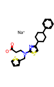 O=C([O-])CCN(Cc1cccs1)c1nc(C2CCC(c3ccccc3)CC2)cs1.[Na+]